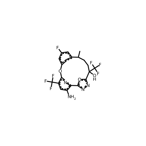 CC1CCC(O)(C(F)(F)F)c2nnc(o2)-c2nc(c(C(F)(F)F)cc2N)Oc2cc(F)cc1c2